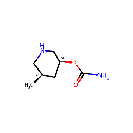 C[C@H]1CNC[C@@H](OC(N)=O)C1